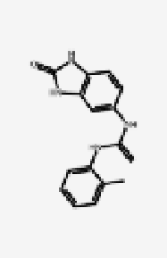 C=C(Nc1ccc2[nH]c(=O)[nH]c2c1)Nc1ccccc1C